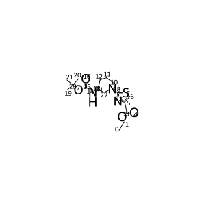 CCOC(=O)c1csc(N2CCC[C@H](NC(=O)OC(C)(C)C)C2)n1